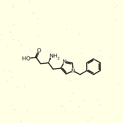 N[C@H](CC(=O)O)Cc1cn(Cc2ccccc2)cn1